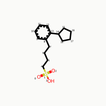 O=S(=O)(O)CCCCc1ccccc1C1CCCC1